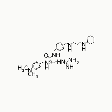 CN(C)c1ccc(CN[C@@H](CCCNC(=N)N)C(=O)NCc2ccc(CNCCCNC3CCCCC3)cc2)cc1